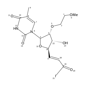 COCCO[C@H]1C(n2cc(C)c(=O)[nH]c2=O)O[C@H](/C=C/C(=O)I)[C@H]1O